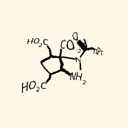 CCCC(=O)N(C)C1(C(=O)O)C(C(=O)O)CC(C(=O)O)C1N